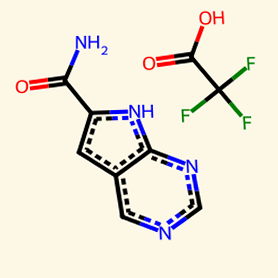 NC(=O)c1cc2cncnc2[nH]1.O=C(O)C(F)(F)F